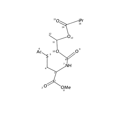 COC(=O)C(CSC(C)=O)NC(=O)OC(C)OC(=O)C(C)C